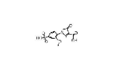 COc1cc(S(=O)(=O)O)ccc1N1CC(=O)C(C(=O)O)=N1